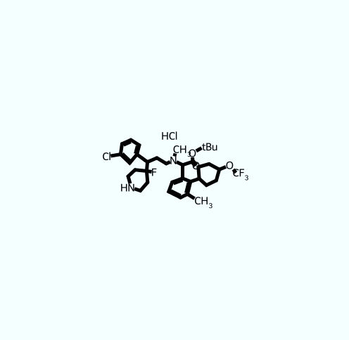 Cc1cccc(C(C(=O)OC(C)(C)C)N(C)CCC(c2cccc(Cl)c2)C2(F)CCNCC2)c1C1CCC(OC(F)(F)F)CC1.Cl